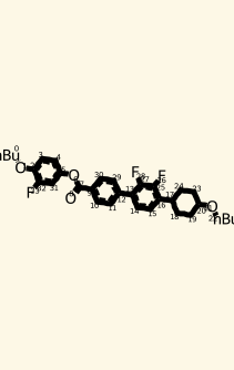 CCCCOc1ccc(OC(=O)c2ccc(-c3ccc(C4CCC(OCCCC)CC4)c(F)c3F)cc2)cc1F